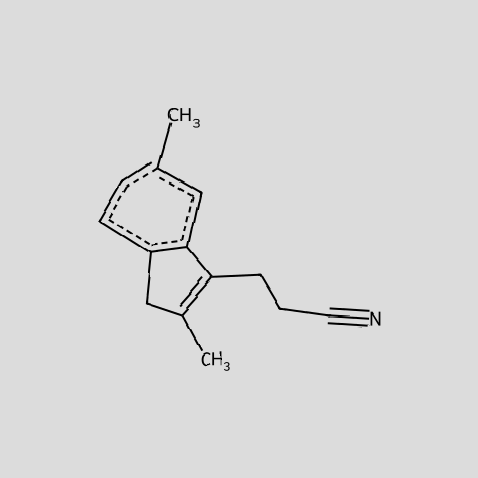 CC1=C(CCC#N)c2cc(C)ccc2C1